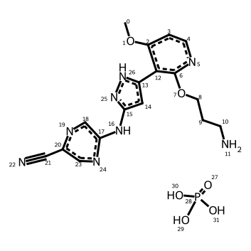 COc1ccnc(OCCCN)c1-c1cc(Nc2cnc(C#N)cn2)n[nH]1.O=P(O)(O)O